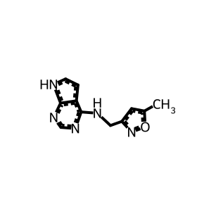 Cc1cc(CNc2ncnc3[nH]ccc23)no1